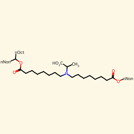 CCCCCCCCCOC(=O)CCCCCCCN(CCCCCCCC(=O)OC(CCCCCCCC)CCCCCCCCC)C(C)C(=O)O